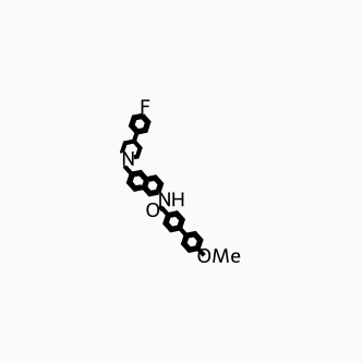 COc1ccc(-c2ccc(C(=O)Nc3ccc4cc(CN5CCC(c6ccc(F)cc6)CC5)ccc4c3)cc2)cc1